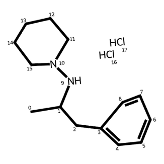 CC(Cc1ccccc1)NN1CCCCC1.Cl.Cl